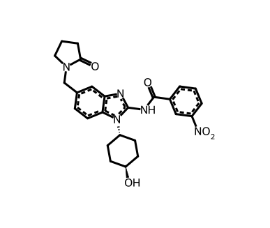 O=C(Nc1nc2cc(CN3CCCC3=O)ccc2n1[C@H]1CC[C@H](O)CC1)c1cccc([N+](=O)[O-])c1